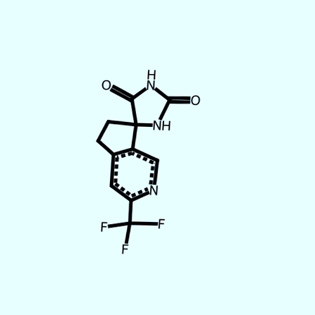 O=C1NC(=O)C2(CCc3cc(C(F)(F)F)ncc32)N1